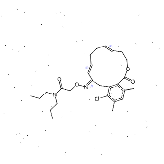 CCCN(CCC)C(=O)CO/N=C1\C=C\CC/C=C/CCOC(=O)c2c(C)cc(C)c(Cl)c2C1